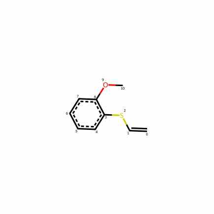 C=CSc1ccccc1OC